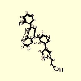 OCCn1cc(-c2cncc(-c3cc(-c4ccccc4F)nc4ncccc34)c2)cn1